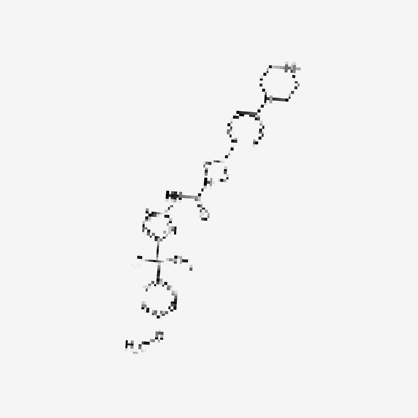 COc1ccc(C(C)(C)c2csc(NC(=O)N3CC(c4ccc(N5CCNCC5)cc4)C3)n2)cc1